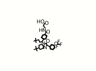 CC(C)(C)CCC(c1ccc(C(=O)NCCC(=O)O)cc1)N1C(=O)C(c2cccc(OC(F)(F)F)c2)=NC12CCC(C(C)(C)C)CC2